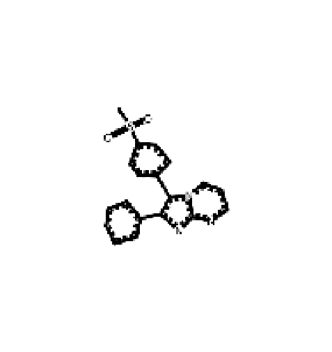 CS(=O)(=O)c1ccc(-c2c(-c3ccccc3)nc3ncccn23)cc1